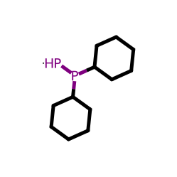 [PH]P(C1CCCCC1)C1CCCCC1